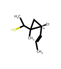 CC=C[C@@]1(CC)CC1(C)C(C)S